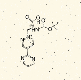 CC(C)(C)OC(=O)N[C@@H](C[n+]1ccc(-c2ncccn2)cn1)C(=O)O